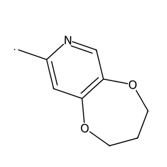 [CH2]c1cc2c(cn1)OCCCO2